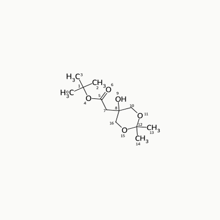 CC(C)(C)OC(=O)CC1(O)COC(C)(C)OC1